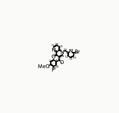 COc1ccc(C(=O)c2cn(Cc3cccc(Br)n3)c3cccnc3c2=O)cc1F